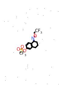 O=S(=O)(Oc1ccc2c(c1)CCCC2=NOCC(F)(F)F)C(F)(F)F